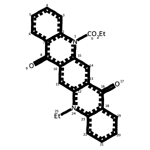 CCOC(=O)n1c2ccccc2c(=O)c2cc3c(cc21)c(=O)c1ccccc1n3CC